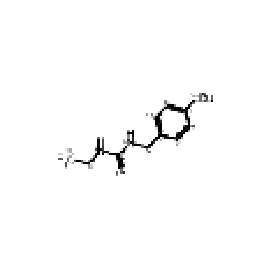 CC(C)(C)c1ccc(CNC(=S)NCC(F)(F)F)cc1